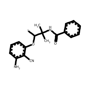 CC(C)(NC(=O)c1ccccc1)C(I)Oc1cccc(N)c1C#N